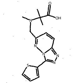 CN(Cc1ccc2nnc(-c3cccs3)n2n1)C(C)(C)C(=O)O